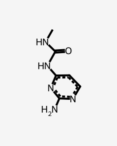 CNC(=O)Nc1ccnc(N)n1